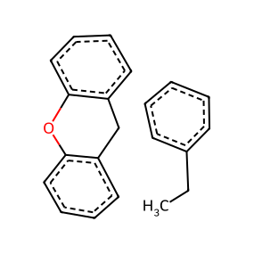 CCc1ccccc1.c1ccc2c(c1)Cc1ccccc1O2